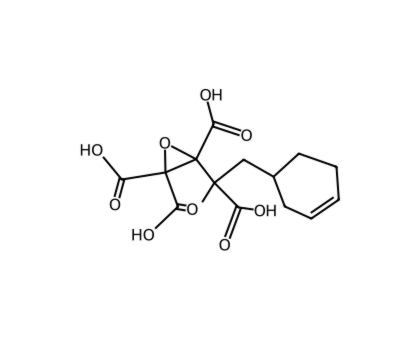 CC(CC1CC=CCC1)(C(=O)O)C1(C(=O)O)OC1(C(=O)O)C(=O)O